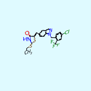 CCSC1NC(=O)/C(=C/c2ccc3c(cnn3Cc3ccc(Cl)cc3C(F)(F)F)c2)S1